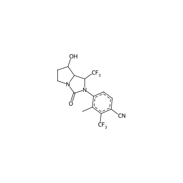 Cc1c(N2C(=O)N3CCC(O)C3C2C(F)(F)F)ccc(C#N)c1C(F)(F)F